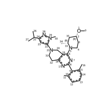 CO[C@@H]1CCN(c2nc(-c3c(C)cccc3C)nc3c2CN(c2cc(C(C)C)nn2C)CC3)[C@H](C)C1